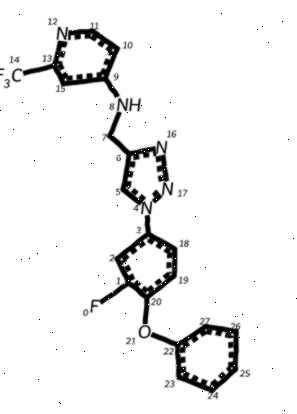 Fc1cc(-n2cc(CNc3ccnc(C(F)(F)F)c3)nn2)ccc1Oc1ccccc1